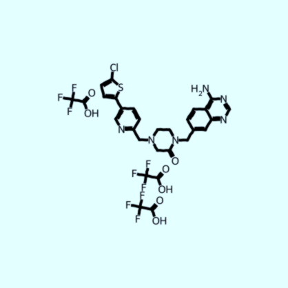 Nc1ncnc2cc(CN3CCN(Cc4ccc(-c5ccc(Cl)s5)cn4)CC3=O)ccc12.O=C(O)C(F)(F)F.O=C(O)C(F)(F)F.O=C(O)C(F)(F)F